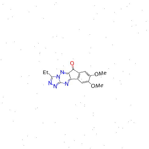 CCc1nnc2nc3c(nn12)C(=O)c1cc(OC)c(OC)cc1-3